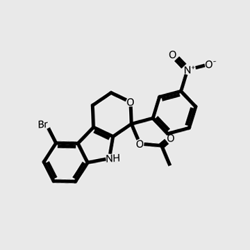 CC(=O)OC1(c2cccc([N+](=O)[O-])c2)OCCc2c1[nH]c1cccc(Br)c21